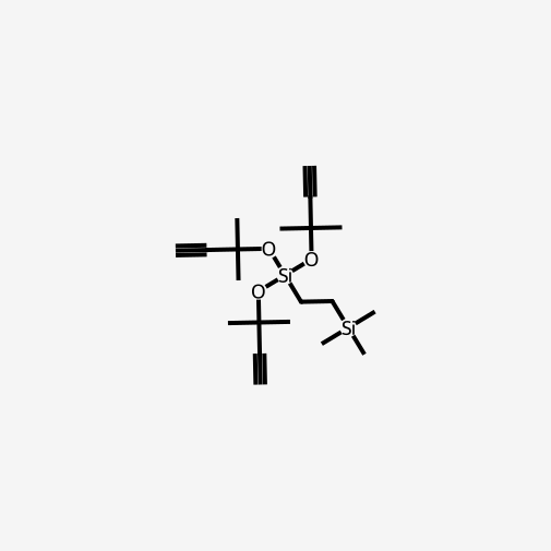 C#CC(C)(C)O[Si](CC[Si](C)(C)C)(OC(C)(C)C#C)OC(C)(C)C#C